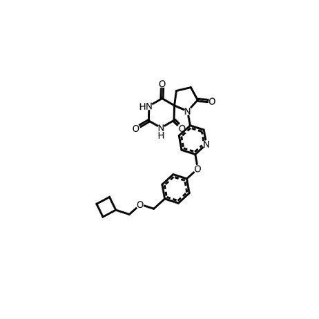 O=C1NC(=O)C2(CCC(=O)N2c2ccc(Oc3ccc(COCC4CCC4)cc3)nc2)C(=O)N1